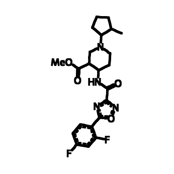 COC(=O)C1CN(C2CCCC2C)CCC1NC(=O)c1noc(-c2ccc(F)cc2F)n1